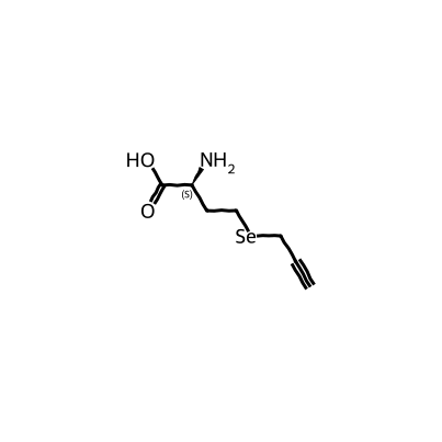 C#CC[Se]CC[C@H](N)C(=O)O